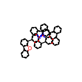 c1ccc(N(c2ccc(-c3cccc4c3oc3ccccc34)cc2)c2ccccc2-c2cc3ccccc3c3ccccc23)c(-c2ccccc2-n2c3ccccc3c3ccccc32)c1